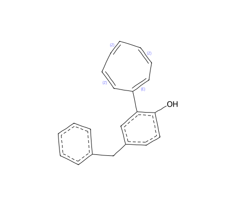 Oc1ccc(Cc2ccccc2)cc1C1=C/C=C\C=C/C=C\1